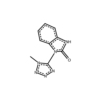 Cn1nnnc1-n1c(=O)[nH]c2ccccc21